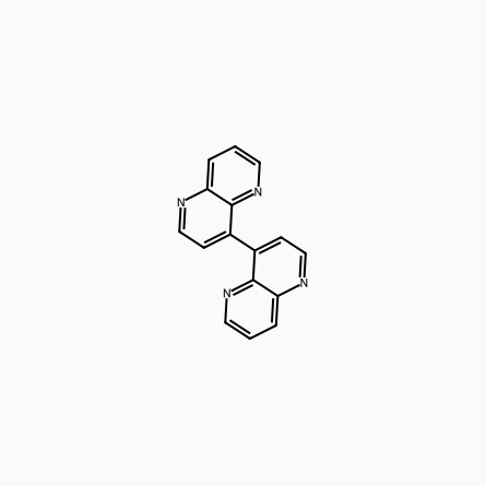 c1cnc2c(-c3ccnc4cccnc34)ccnc2c1